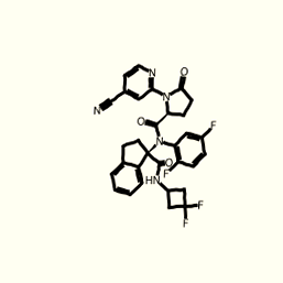 N#Cc1ccnc(N2C(=O)CC[C@H]2C(=O)N(c2cc(F)ccc2F)[C@]2(C(=O)NC3CC(F)(F)C3)CCc3ccccc32)c1